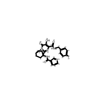 O=C(NC12CCC(CC1)Cn1c2nc(C(=O)NCc2ccc(F)cc2)c(O)c1=O)c1cccnc1